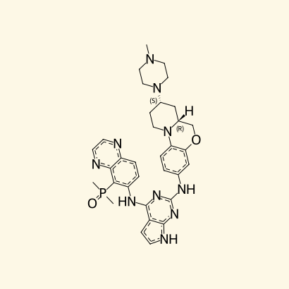 CN1CCN([C@H]2CCN3c4ccc(Nc5nc(Nc6ccc7nccnc7c6P(C)(C)=O)c6cc[nH]c6n5)cc4OC[C@H]3C2)CC1